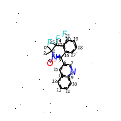 CC1(C)[N+]([O-])=C(c2cnc3ccccc3c2)c2cccc(F)c2C1(F)F